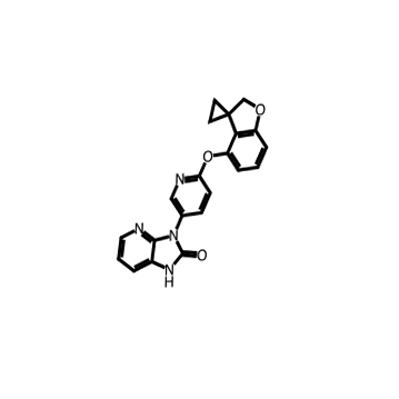 O=c1[nH]c2cccnc2n1-c1ccc(Oc2cccc3c2C2(CC2)CO3)nc1